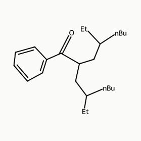 CCCCC(CC)CC(CC(CC)CCCC)C(=O)c1ccccc1